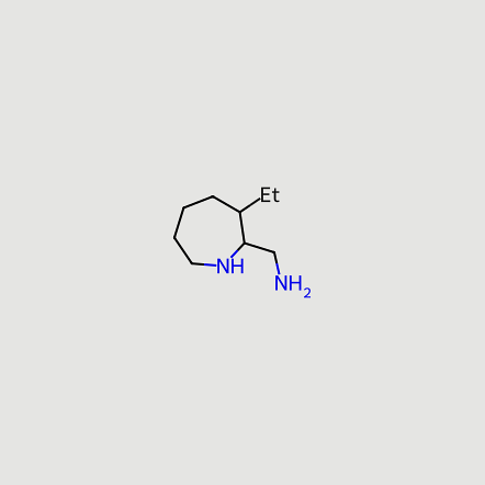 CCC1CCCCNC1CN